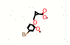 COC(=O)C1CC1COc1ccc(Br)cc1OC